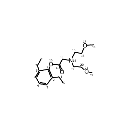 CCc1cccc(CC)c1OC(=O)CN(CCOC)CCOC